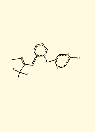 CN=C(N=c1ccccn1Cc1ccc(Cl)nc1)C(F)(F)F